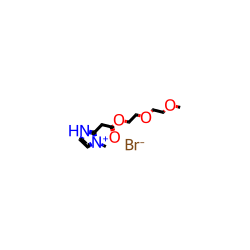 COCCOCCOC(=O)Cc1[nH]cc[n+]1C.[Br-]